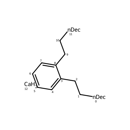 CCCCCCCCCCCCc1ccccc1CCCCCCCCCCCC.[CaH2]